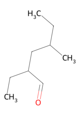 CCC(C)CC(C=O)CC